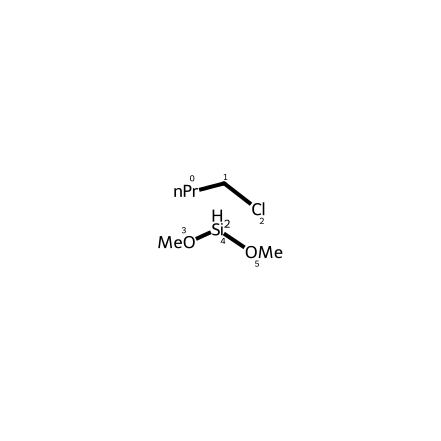 CCCCCl.CO[SiH2]OC